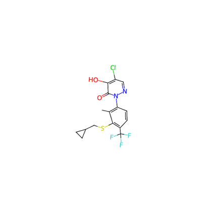 Cc1c(-n2ncc(Cl)c(O)c2=O)ccc(C(F)(F)F)c1SCC1CC1